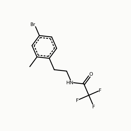 Cc1cc(Br)ccc1CCNC(=O)C(F)(F)F